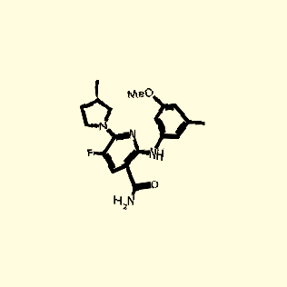 COc1cc(C)cc(Nc2nc(N3CC[C@@H](C)C3)c(F)cc2C(N)=O)c1